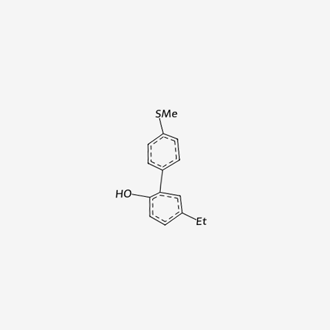 CCc1ccc(O)c(-c2ccc(SC)cc2)c1